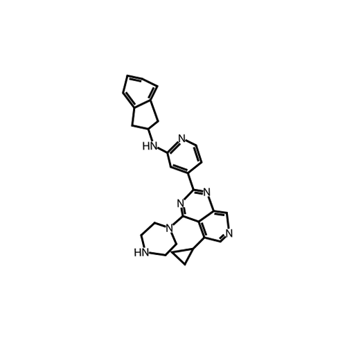 c1ccc2c(c1)CC(Nc1cc(-c3nc(N4CCNCC4)c4c(C5CC5)cncc4n3)ccn1)C2